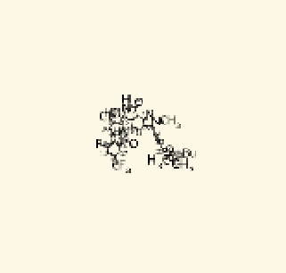 Cn1nc2c3c(c(NC(=O)c4cc(F)cc(C(F)(F)F)c4)cc2c1C#CCO[Si](C)(C)C(C)(C)C)C(O)(c1cc(F)ccc1Cl)NC3=O